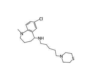 CN1CCCC(NCCCCCN2CCSCC2)c2cc(Cl)ccc21